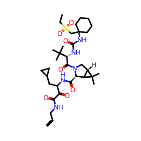 C=CCNC(=O)C(=O)C(CC1CC1)NC(=O)[C@@H]1C2[C@H](CN1C(=O)[C@@H](NC(=O)NC1(CS(=O)(=O)CC)CCCCC1)C(C)(C)C)C2(C)C